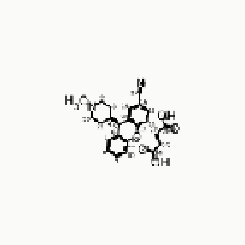 CN1CCC(=C2c3ccccc3Oc3ccc(C#N)cc32)CC1.O=C(O)C=CC(=O)O